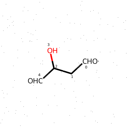 O=[C]CC(O)C=O